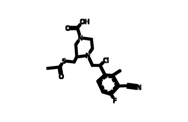 CC(=O)SCC1CN(C(=O)O)CCN1CC(Cl)c1ccc(F)c(C#N)c1C